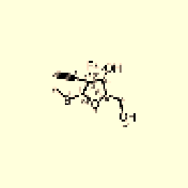 C#C[C@]1(F)[C@H](BC)O[C@H](CO)[C@H]1O